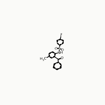 Cc1ccc(NS(=O)(=O)c2ccc(F)cc2)c(C(=O)c2ccccc2)c1